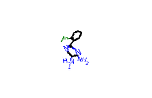 Nc1cnc(-c2ccccc2F)nc1N